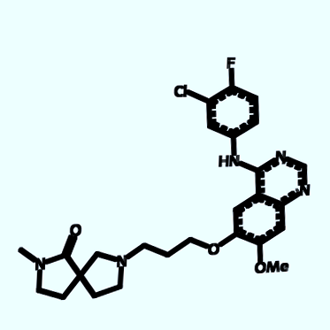 COc1cc2ncnc(Nc3ccc(F)c(Cl)c3)c2cc1OCCCN1CCC2(CCN(C)C2=O)C1